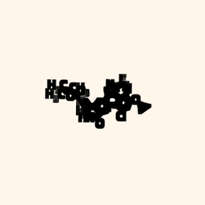 CC(C)(C)OC(=O)NCc1n[nH]c(=O)c2ccc(-c3cnn(C(F)F)c3-c3c(F)c(Cl)cc(OC4CC4)c3C#N)cc12